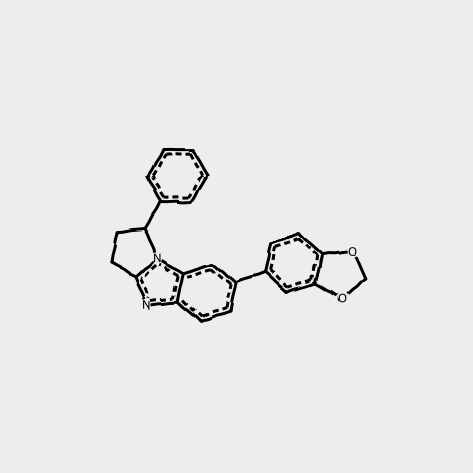 c1ccc(C2CCc3nc4ccc(-c5ccc6c(c5)OCO6)cc4n32)cc1